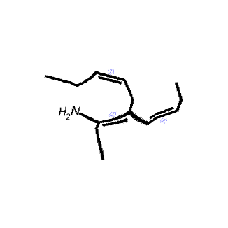 C\C=C/C(/C=C\CC)=C(\C)N